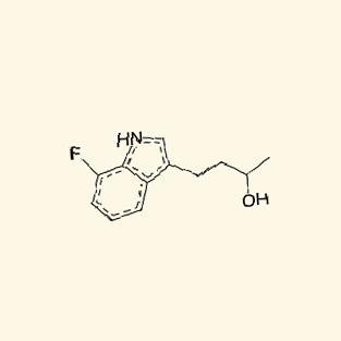 CC(O)CCc1c[nH]c2c(F)cccc12